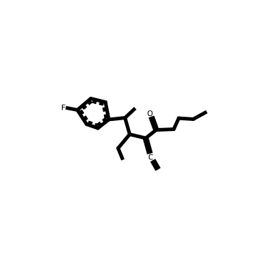 C=C=C(C(=O)CCCC)C(CC)C(C)c1ccc(F)cc1